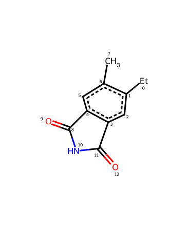 CCc1cc2c(cc1C)C(=O)NC2=O